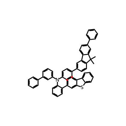 CC1(C)c2ccc(-c3ccc(N(c4cccc(-c5ccccc5)c4)c4ccccc4-c4ccc5c(c4)sc4ccccc45)cc3)cc2-c2ccc(-c3ccccc3)cc21